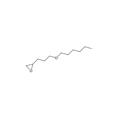 [CH2]CCCCCOCCCC1CO1